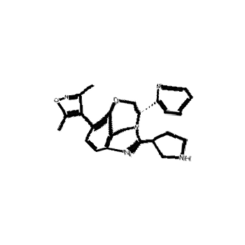 Cc1noc(C)c1-c1ccc2nc(C3CCNC3)n3c2c1OC[C@@H]3c1ccccn1